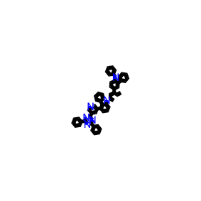 C=C/C(=C\C(=C)n1c2ccccc2c2c(-c3cncc(-c4nc(-c5ccccc5)nc(-c5ccccc5)n4)c3)cccc21)c1ccc2c(c1)c1ccccc1n2-c1ccccc1